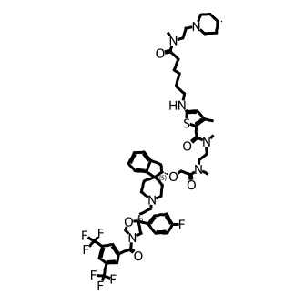 Cc1cc(NCCCCCC(=O)N(C)CCN2CC[CH]CC2)sc1C(=O)N(C)CCN(C)C(=O)CO[C@H]1Cc2ccccc2C12CCN(CC[C@]1(c3ccc(F)cc3)CN(C(=O)c3cc(C(F)(F)F)cc(C(F)(F)F)c3)CO1)CC2